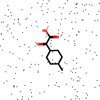 CC1CCC(C(=O)C(=O)O)CC1